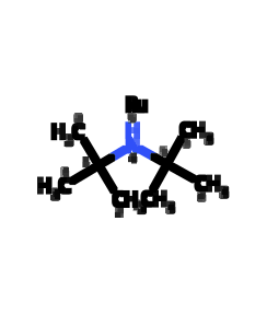 CC(C)(C)NC(C)(C)C.[Ru]